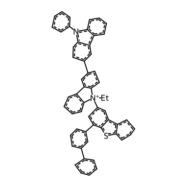 CC[N+]1(c2cc(-c3cccc(-c4ccccc4)c3)c3sc4ccccc4c3c2)c2ccccc2-c2cc(-c3ccc4c(c3)c3ccccc3n4-c3ccccc3)ccc21